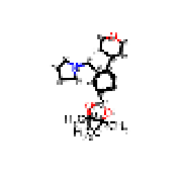 CC1(C)OB(c2ccc(C3CCOCC3)c(CN3CCCC3)c2)OC1(C)C